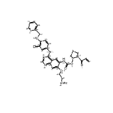 C=CC(=O)N1CCC[C@@H]1OC(=O)Nc1cc2c(Nc3ccc(OCc4ccccn4)c(Cl)c3)ncnc2cc1OCCOC